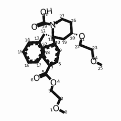 COCCOC(=O)c1ccc([C@]2(Cc3ccccc3)C[C@@H](OCCOC)CCN2C(=O)O)cc1